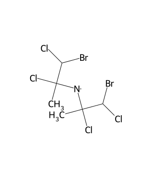 CC(Cl)([N]C(C)(Cl)C(Cl)Br)C(Cl)Br